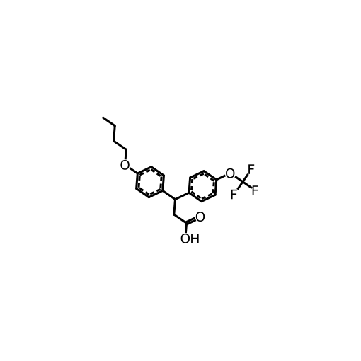 CCCCOc1ccc(C(CC(=O)O)c2ccc(OC(F)(F)F)cc2)cc1